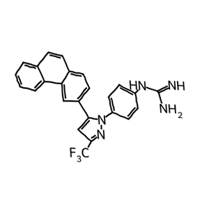 N=C(N)Nc1ccc(-n2nc(C(F)(F)F)cc2-c2ccc3ccc4ccccc4c3c2)cc1